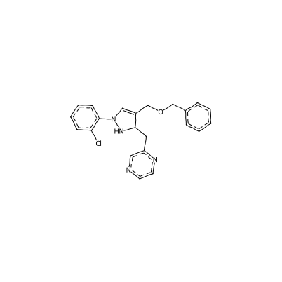 Clc1ccccc1N1C=C(COCc2ccccc2)C(Cc2cnccn2)N1